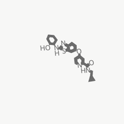 O=C(NCC1CC1)c1cc(Oc2ccc3nc(N[C@@H]4CCCC[C@H]4O)sc3c2)ccn1